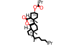 CC(C)CCC[C@@H](C)[C@H]1CC[C@H]2C3=C(CC[C@]12C)[C@@]1(C)CC[C@H](OC(=O)C(C)C)C[C@@H]1C(=O)O3